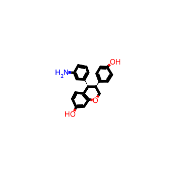 Nc1cccc([C@H]2c3ccc(O)cc3OC[C@H]2c2ccc(O)cc2)c1